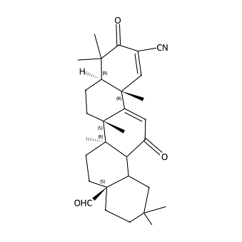 CC1(C)CC[C@]2(C=O)CC[C@]3(C)C(C(=O)C=C4[C@@]5(C)C=C(C#N)C(=O)C(C)(C)[C@@H]5CC[C@]43C)C2C1